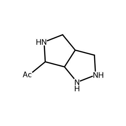 CC(=O)C1NCC2CNNC21